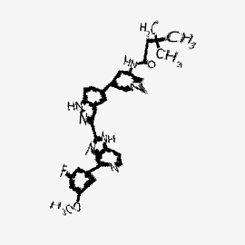 COc1cc(F)cc(-c2nccc3[nH]c(-c4n[nH]c5ccc(-c6cncc(NC(=O)CC(C)(C)C)c6)cc45)nc23)c1